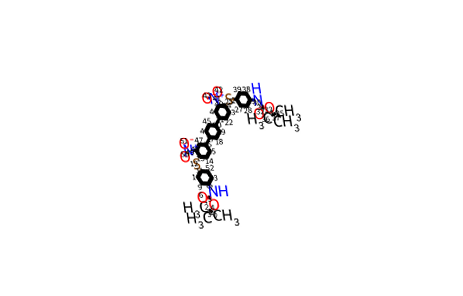 CC(C)(C)OC(=O)Nc1ccc(Sc2ccc(-c3ccc(-c4ccc(Sc5ccc(NC(=O)OC(C)(C)C)cc5)c([N+](=O)[O-])c4)cc3)cc2[N+](=O)[O-])cc1